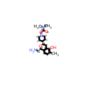 Cc1ccc2c(c1O)C[C@@H](C1CCN(OC(=O)N(C)C)CC1)O[C@H]2CN